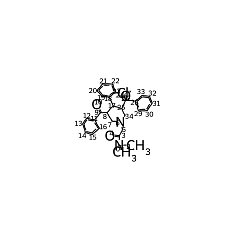 CN(C)C(=O)CN1CC(C(=O)c2ccccc2)C(c2ccccc2Cl)C(C(=O)c2ccccc2)C1